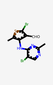 Cc1ncc(Br)c(Nc2c(C)sc(Br)c2C=O)n1